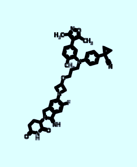 Cc1ccc(-c2c(C)noc2C)cc1N(CCCOC1CN(c2cc3c(cc2F)C(=N)N(C2CCC(=O)NC2=O)C3)C1)c1ccc(C2(C#N)CC2)cc1